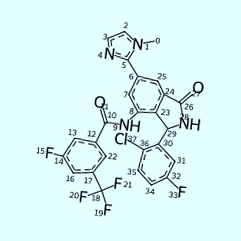 Cn1ccnc1-c1cc(NC(=O)c2cc(F)cc(C(F)(F)F)c2)c2c(c1)C(=O)NC2c1cc(F)ccc1Cl